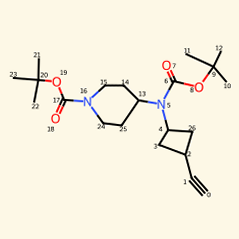 C#CC1CC(N(C(=O)OC(C)(C)C)C2CCN(C(=O)OC(C)(C)C)CC2)C1